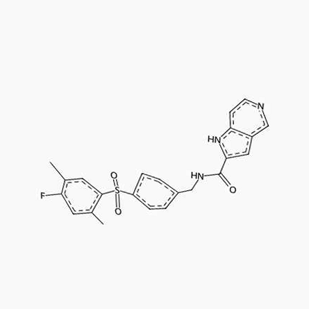 Cc1cc(S(=O)(=O)c2ccc(CNC(=O)c3cc4cnccc4[nH]3)cc2)c(C)cc1F